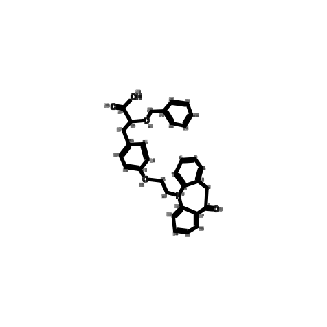 O=C1Cc2ccccc2N(CCOc2ccc(CC(OCc3ccccc3)C(=O)O)cc2)c2ccccc21